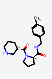 Cc1ccc(CNC(=O)[C@H]2CCCN2C(=O)[C@H]2CCCNC2)cc1